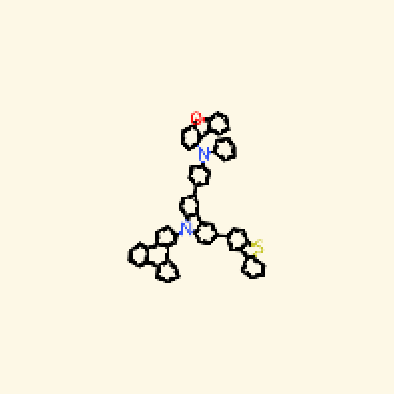 c1ccc(N(c2ccc(-c3ccc4c(c3)c3cc(-c5ccc6sc7ccccc7c6c5)ccc3n4-c3ccc4c5ccccc5c5ccccc5c4c3)cc2)c2cccc3oc4ccccc4c23)cc1